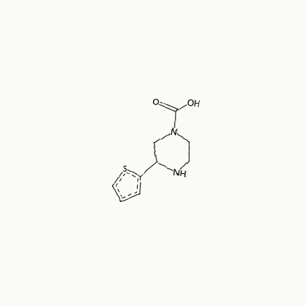 O=C(O)N1CCNC(c2cccs2)C1